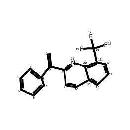 C=C(c1ccccc1)c1ccc2cccc(C(F)(F)F)c2n1